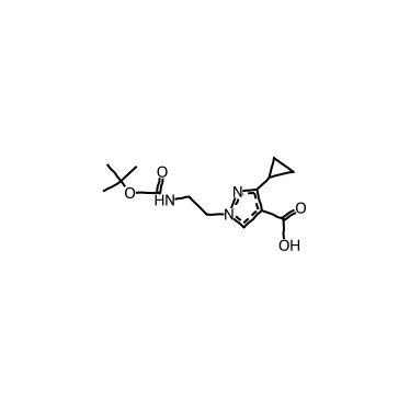 CC(C)(C)OC(=O)NCCn1cc(C(=O)O)c(C2CC2)n1